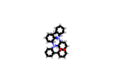 c1ccc(-c2ccccc2N2c3ccccc3-n3c4ccccc4c4cccc2c43)cc1